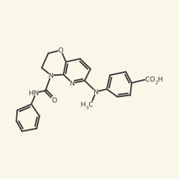 CN(c1ccc(C(=O)O)cc1)c1ccc2c(n1)N(C(=O)Nc1ccccc1)CCO2